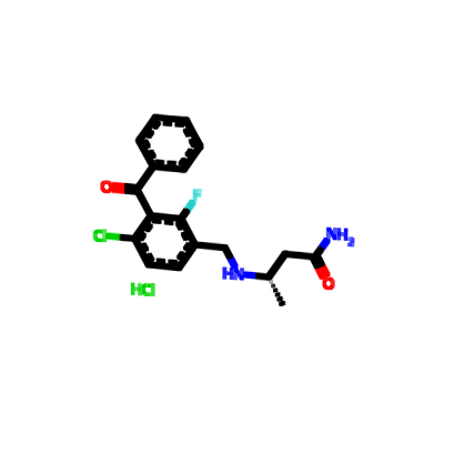 C[C@@H](CC(N)=O)NCc1ccc(Cl)c(C(=O)c2ccccc2)c1F.Cl